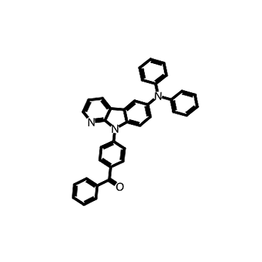 O=C(c1ccccc1)c1ccc(-n2c3ccc(N(c4ccccc4)c4ccccc4)cc3c3cccnc32)cc1